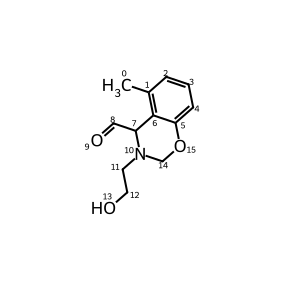 Cc1cccc2c1C(C=O)N(CCO)CO2